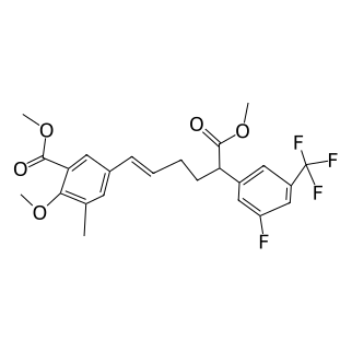 COC(=O)c1cc(/C=C/CCC(C(=O)OC)c2cc(F)cc(C(F)(F)F)c2)cc(C)c1OC